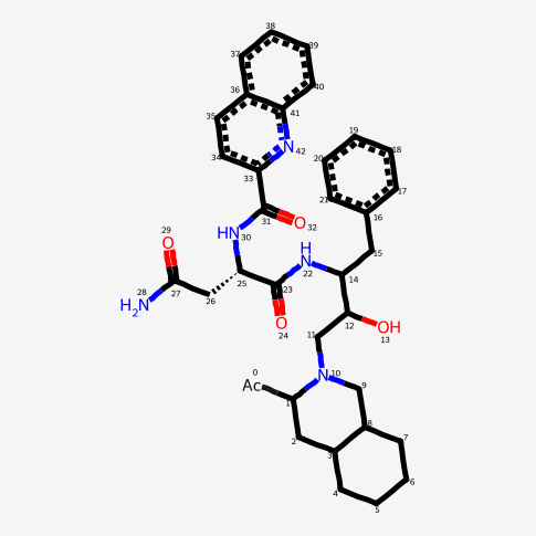 CC(=O)C1CC2CCCCC2CN1CC(O)C(Cc1ccccc1)NC(=O)[C@H](CC(N)=O)NC(=O)c1ccc2ccccc2n1